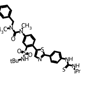 CC(C)NC(=S)Nc1ccc(-c2ncc(-c3ccc(N(C)C(=O)N(C)Cc4ccccc4)cc3S(=O)(=O)NC(C)(C)C)s2)cc1